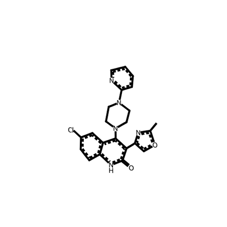 Cc1nc(-c2c(N3CCN(c4ccccn4)CC3)c3cc(Cl)ccc3[nH]c2=O)co1